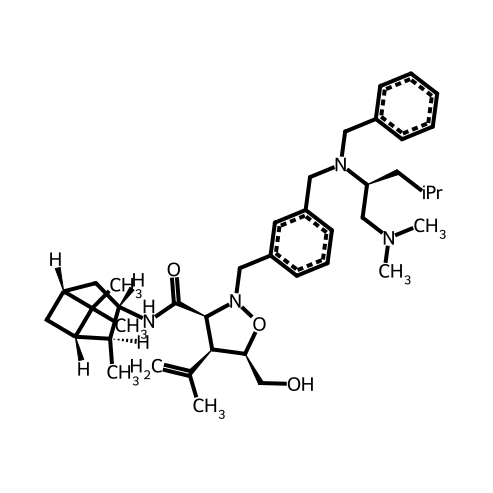 C=C(C)[C@@H]1[C@H](CO)ON(Cc2cccc(CN(Cc3ccccc3)[C@@H](CC(C)C)CN(C)C)c2)[C@@H]1C(=O)N[C@H]1C[C@H]2C[C@@H]([C@@H]1C)C2(C)C